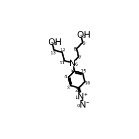 [N-]=[N+]=C1C=CC(N(CCCO)CCCO)=CC1